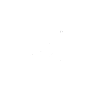 CC(C)C(C)c1cc(O)cc(O)c1